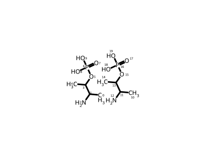 CC(N)C(C)OP(=O)(O)O.CC(N)C(C)OP(=O)(O)O